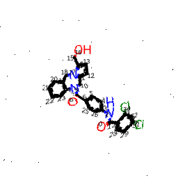 O=C(Nc1ccc(C(=O)N2Cc3ccc(CO)n3Cc3ccccc32)cc1)c1ccc(Cl)cc1Cl